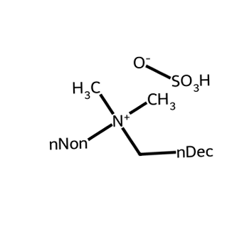 CCCCCCCCCCC[N+](C)(C)CCCCCCCCC.O=S(=O)([O-])O